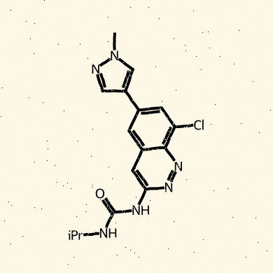 CC(C)NC(=O)Nc1cc2cc(-c3cnn(C)c3)cc(Cl)c2nn1